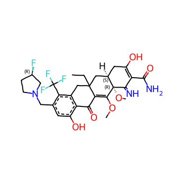 CCC12Cc3c(c(O)cc(CN4CC[C@@H](F)C4)c3C(F)(F)F)C(=O)C1=C(OC)[C@]1(OC)C(=N)C(C(N)=O)=C(O)C[C@@H]1C2